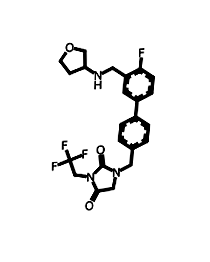 O=C1CN(Cc2ccc(-c3ccc(F)c(CNC4CCOC4)c3)cc2)C(=O)N1CC(F)(F)F